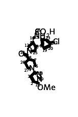 COc1ccc(N2CCC(C(=O)N3C[C@H](CNC(=O)O)[C@H](c4ccc(Cl)cc4)C3)CC2)nn1